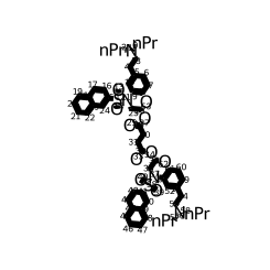 CCCN(CCC)CCc1ccc2c(c1)N(S(=O)(=O)c1ccc3ccccc3c1)CC(OC(=O)CCC(=O)OC1CN(S(=O)(=O)c3ccc4ccccc4c3)c3cc(CCN(CCC)CCC)ccc3O1)O2